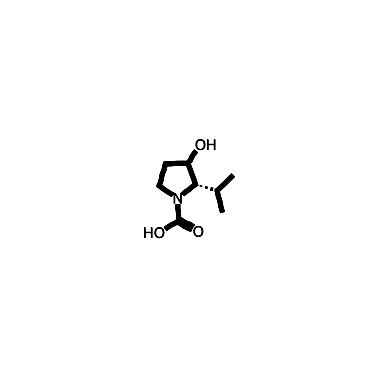 CC(C)[C@H]1C(O)CCN1C(=O)O